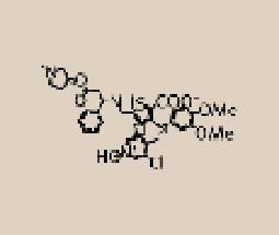 COc1ccc([C@H](Cc2c(Cl)c[n+](O)cc2Cl)c2cc(CNC(CC(=O)O[C@@H]3CCN(C)C3)c3ccccc3)sc2C(=O)[O-])cc1OC